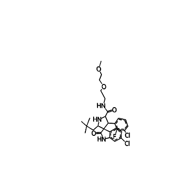 COCCOCCNC(=O)C1NC(CC(C)(C)C)C2(C(=O)Nc3cc(Cl)ccc32)C1c1cccc(Cl)c1F